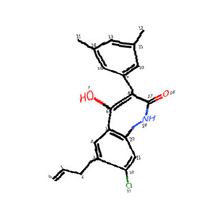 C=CCc1cc2c(O)c(-c3cc(C)cc(C)c3)c(=O)[nH]c2cc1Cl